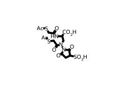 CC(=O)SCC(=O)NC(CN(C(=O)CSC(C)=O)N1C(=O)CC(S(=O)(=O)O)C1=O)C(=O)O